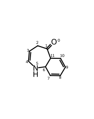 O=C1CC=CNC2C=CC=CC12